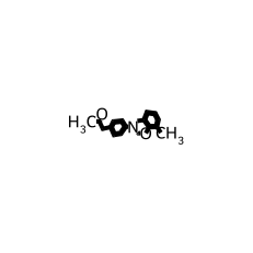 CC(=O)Cc1ccc(N2COc3c(C)cccc3C2)cc1